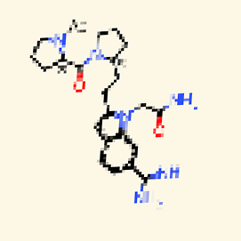 CC(=O)N1CCC[C@@H]1C(=O)N1CCC[C@H]1CCc1cc2ccc(C(=N)N)cc2n1CC(N)=O